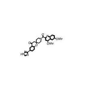 COc1ccc2nc(C(=O)N3CCC4(CC3)CC(=O)c3cc(-c5nc[nH]n5)ccc3O4)cc(OC)c2c1